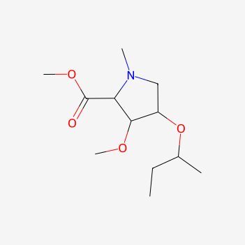 CCC(C)OC1CN(C)C(C(=O)OC)C1OC